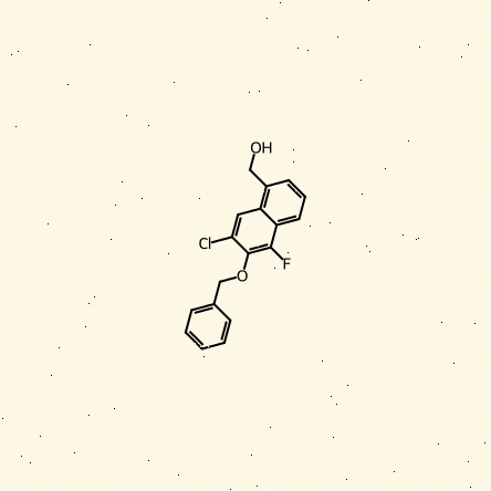 OCc1cccc2c(F)c(OCc3ccccc3)c(Cl)cc12